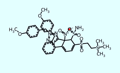 COc1ccc(Cc2ccccc2C2=CC=C(S(=O)(=O)CC[Si](C)(C)C)C(S(N)(=O)=O)C2(c2nnn(Cc3ccc(OC)cc3)n2)[N+](=O)[O-])cc1